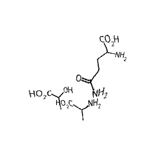 CC(N)C(=O)O.CC(O)C(=O)O.NC(=O)CCC(N)C(=O)O